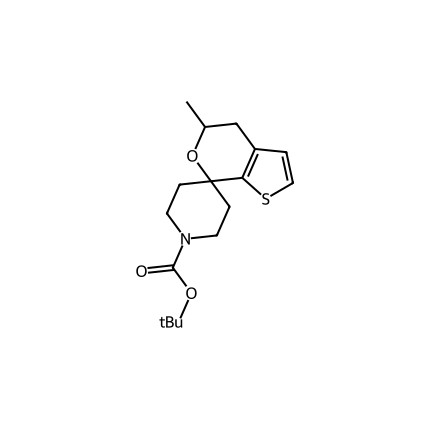 CC1Cc2ccsc2C2(CCN(C(=O)OC(C)(C)C)CC2)O1